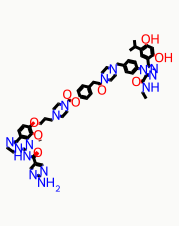 CCNC(=O)c1nnc(-c2cc(C(C)C)c(O)cc2O)n1-c1ccc(CN2CCN(C(=O)Cc3ccc(OC(=O)N4CCN(CCCOc5ccc6c(c5OC)N=C(NC(=O)c5cnc(N)nc5)N5CCN=C65)CC4)cc3)CC2)cc1